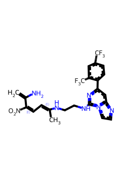 C=C(N)/C(=C\C=C(/C)NCCNc1nc(-c2ccc(C(F)(F)F)cc2C(F)(F)F)cc2nccn12)[N+](=O)[O-]